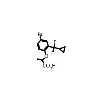 CC(Oc1ccc(Br)cc1C(F)(F)C1CC1)C(=O)O